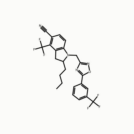 CCCCC1Cc2c(ccc(C#N)c2C(F)(F)F)N1Cc1noc(-c2cccc(C(F)(F)F)c2)n1